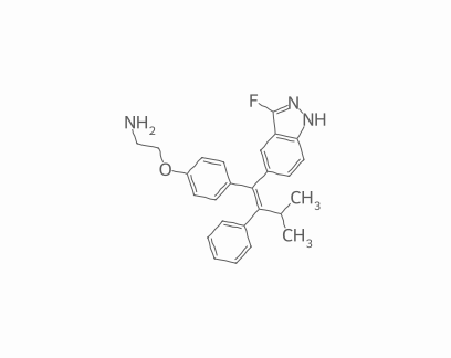 CC(C)/C(=C(/c1ccc(OCCN)cc1)c1ccc2[nH]nc(F)c2c1)c1ccccc1